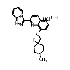 CN1CCC(F)(COc2cccc3ccc(-c4nnc5ccccn45)nc23)CC1.Cl.Cl